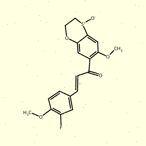 COc1ccc(/C=C/C(=O)c2cc3c(cc2OC)[S+]([O-])CCO3)cc1F